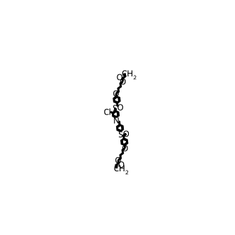 C=CC(=O)OCCCCOc1ccc(C(=O)Sc2ccc(/C=N/c3ccc(SC(=O)c4ccc(OCCCCOC(=O)C=C)cc4)c(Cl)c3)cc2)cc1